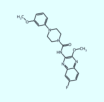 COc1cccc(N2CCN(C(=O)Nc3nc4cc(F)ccc4nc3OC)CC2)c1